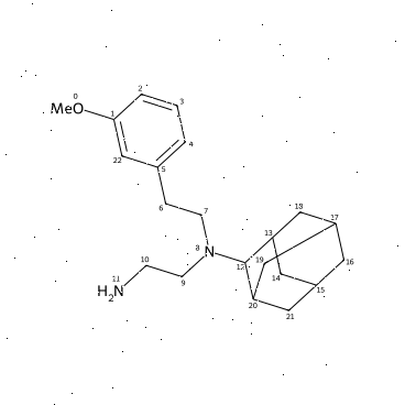 COc1cccc(CCN(CCN)C2C3CC4CC(C3)CC2C4)c1